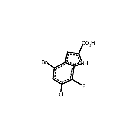 O=C(O)c1cc2c(Br)cc(Cl)c(F)c2[nH]1